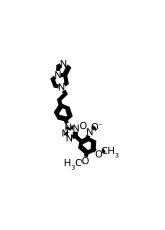 COc1cc(-c2nnn(-c3ccc(CCN4CCn5cncc5C4)cc3)n2)c([N+](=O)[O-])cc1OC